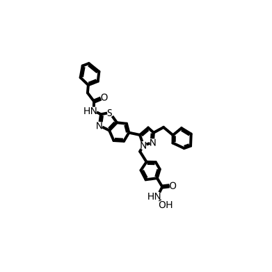 O=C(Cc1ccccc1)Nc1nc2ccc(-c3cc(Cc4ccccc4)nn3Cc3ccc(C(=O)NO)cc3)cc2s1